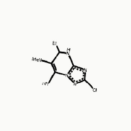 CCCC1=C(NC)C(CC)Nc2nc(Cl)nn21